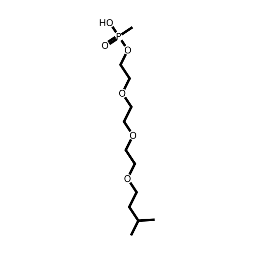 CC(C)CCOCCOCCOCCOP(C)(=O)O